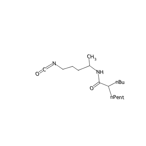 CCCCCC(CCCC)C(=O)NC(C)CCCN=C=O